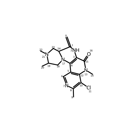 C=C1Nc2c(c3cnc(C)c(Cl)c3n(C)c2=O)N2CC(C)N(C)CC12